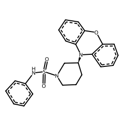 O=S(=O)(Nc1ccccc1)N1CCC[C@H](N2c3ccccc3Oc3ccccc32)C1